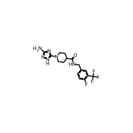 Nc1n[nH]c(N2CCC(C(=O)NCc3ccc(F)c(C(F)(F)F)c3)CC2)n1